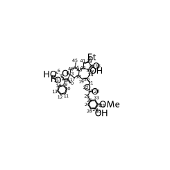 C=C(C)[C@@]1(O[C@@](CO)(Cc2ccccc2)OF)CC2C=C(COC(=O)Cc3ccc(O)c(OC)c3)C[C@]3(O)C(=O)C(CC)=CC3C2[C@H](C)C1